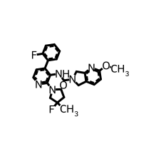 COc1ccc2c(n1)CN(C(=O)Nc1c(-c3ccccc3F)ccnc1N1CCC(C)(F)C1)C2